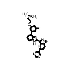 CN(C)CCOc1cc(F)cc(-c2cccc3[nH]c(-c4n[nH]c5ccc(-c6cncnc6)nc45)nc23)c1